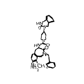 Cc1c(N)ccc2c1CN(Cc1ccccc1)C(=O)[C@H](NC(=O)N1CCC(N3Cc4ccccc4NC3=O)CC1)C2